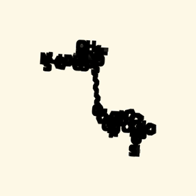 Cc1ncsc1-c1ccc(CNC(=O)[C@@H]2C[C@@H](O)CN2C(=O)[C@@H](NC(=O)C2(F)CC2)C(C)(C)SCCCCCCCCCCOc2cccc(-c3ccc(N4CCc5cccc(C(=O)N(COCC[Si](C)(C)C)c6nc7ccccc7s6)c5C4)nc3C(=O)OC(C)(C)C)c2C)cc1